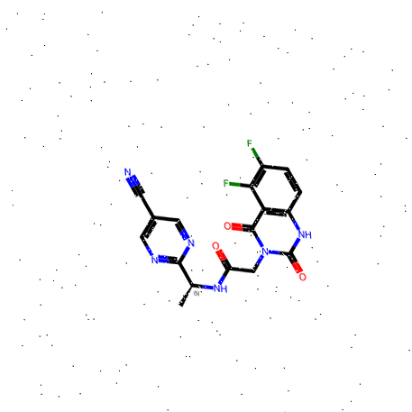 C[C@H](NC(=O)Cn1c(=O)[nH]c2ccc(F)c(F)c2c1=O)c1ncc(C#N)cn1